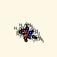 CC(C)(C)c1ccc(N2c3cc(C(C)(C)C)cc4c3B(c3cc(C(C)(C)C)ccc3N4c3ccc(C(C)(C)C)cc3-c3ccc4c(c3)C(C)(C)c3ccccc3-4)c3c2ccc2c3oc3ccc4c(c32)CCC4)cc1